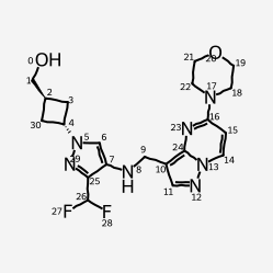 OC[C@H]1C[C@H](n2cc(NCc3cnn4ccc(N5CCOCC5)nc34)c(C(F)F)n2)C1